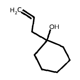 C=CCC1(O)CCCCC1